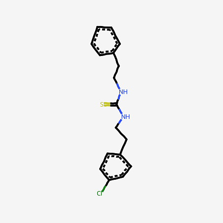 S=C(NCCc1ccccc1)NCCc1ccc(Cl)cc1